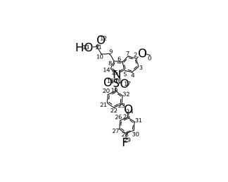 COc1ccc2c(c1)c(CCC(=O)O)cn2S(=O)(=O)c1cccc(Oc2ccc(F)cc2)c1